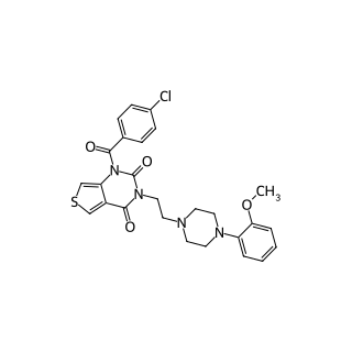 COc1ccccc1N1CCN(CCn2c(=O)c3cscc3n(C(=O)c3ccc(Cl)cc3)c2=O)CC1